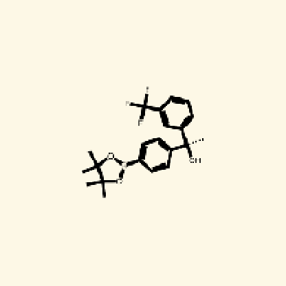 CC1(C)OB(c2ccc([C@](C)(O)c3cccc(C(F)(F)F)c3)cc2)OC1(C)C